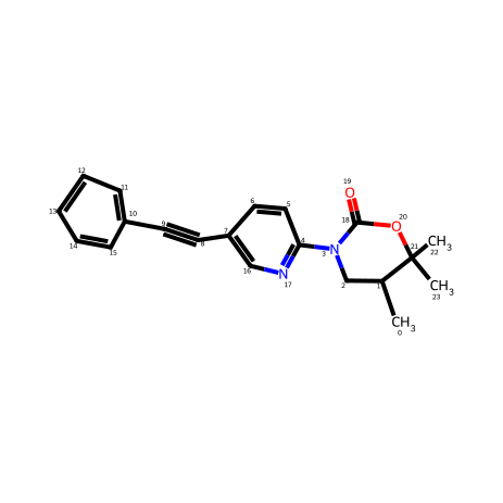 CC1CN(c2ccc(C#Cc3ccccc3)cn2)C(=O)OC1(C)C